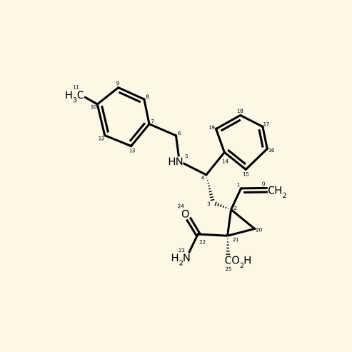 C=C[C@@]1(C[C@H](NCc2ccc(C)cc2)c2ccccc2)C[C@]1(C(N)=O)C(=O)O